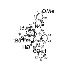 COc1ccc(Cn2c(=O)ccn([C@@H]3O[C@H]([C@@H](O)[C@@H](C(=O)O)N(Cc4ccccc4)Cc4ccccc4)[C@@H](O[Si](C)(C)C(C)(C)C)[C@H]3O[Si](C)(C)C(C)(C)C)c2=O)cc1